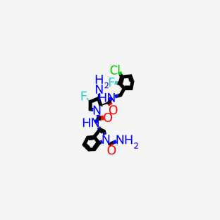 NC(=O)n1cc(NC(=O)N2C[C@H](F)[C@@H](N)[C@H]2C(=O)NCc2cccc(Cl)c2F)c2ccccc21